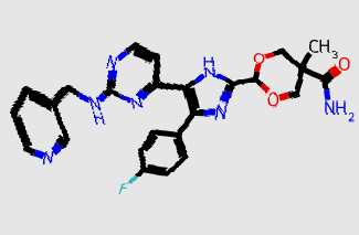 CC1(C(N)=O)COC(c2nc(-c3ccc(F)cc3)c(-c3ccnc(NCc4cccnc4)n3)[nH]2)OC1